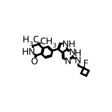 CC1(C)CNC(=O)c2ccc(-c3c[nH]c4nc(NCC5(F)CCC5)ncc34)cc21